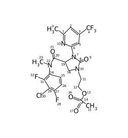 Cc1cc(C(F)(F)F)cc(N2C(=O)N(CCOS(C)(=O)=O)CC2C(=O)N(C)c2ccc(F)c(Cl)c2F)n1